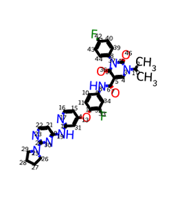 CC(C)n1cc(C(=O)Nc2ccc(Oc3ccnc(Nc4ccnc(N5CCCC5)n4)c3)c(F)c2)c(=O)n(-c2ccc(F)cc2)c1=O